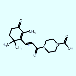 CC1=C(/C=C/C(=O)N2CCN(C(=O)O)CC2)C(C)(C)CCC1=O